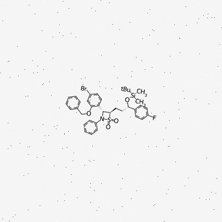 CC(C)(C)[Si](C)(C)O[C@@H](CC[C@@H]1[C@@H](c2ccc(Br)cc2OCc2ccccc2)N(c2ccccc2)S1(=O)=O)c1ccc(F)cc1